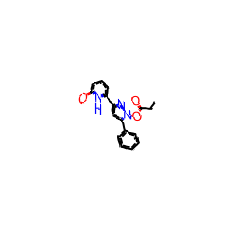 CCC(=O)On1nc(-c2cccc(=O)[nH]2)cc1-c1ccccc1